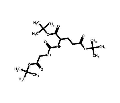 CC(C)(C)OC(=O)CCC(NC(=O)NCC(=O)OC(C)(C)C)C(=O)OC(C)(C)C